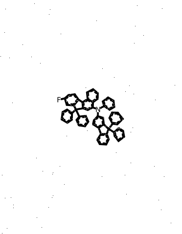 Fc1ccc2c(c1)C(c1ccccc1)(c1ccccc1)c1cc(N(c3ccccc3)c3ccc4c(c3)C(c3ccccc3)(c3ccccc3)c3ccccc3-4)c3ccccc3c1-2